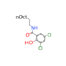 CCCCCCCCCCNC(=O)c1cc(Cl)cc(Cl)c1O